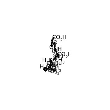 C/C(=C\CN(C)C(=O)C(NC(=O)C(N(C)C)C(C)(C)c1ccccc1)C(C)(C)C)C(=O)NC(CCC(=O)NCCN1C(=O)CC(SCCC(=O)O)C1=O)C(=O)O